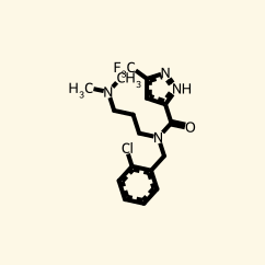 CN(C)CCCN(Cc1ccccc1Cl)C(=O)c1cc(C(F)(F)F)n[nH]1